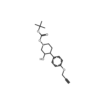 C#CCOc1ccc(C2CCN(OC(=O)OC(C)(C)C)CC2O)cc1